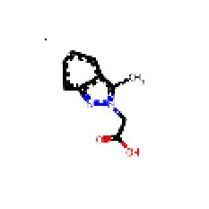 Cc1c2ccccc2nn1CC(=O)O